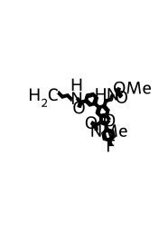 C=CCCCNC(=O)c1cccc(-c2cc3c(C(=O)NC)c(-c4ccc(F)cc4)oc3cc2CCNC(=O)OC)c1